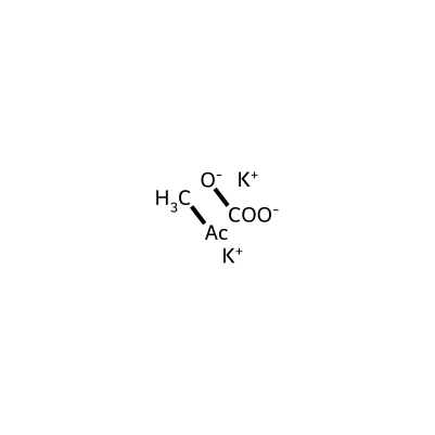 CC(C)=O.O=C([O-])[O-].[K+].[K+]